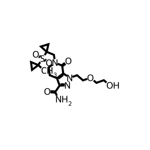 CC1(S(=O)(=O)C2(CN3CCc4c(C(N)=O)nn(CCOCCO)c4C3=O)CC2)CC1